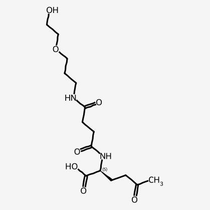 CC(=O)CC[C@H](NC(=O)CCC(=O)NCCCOCCO)C(=O)O